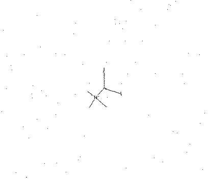 C[N+](C)(C)C(I)I